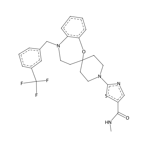 CNC(=O)c1cnc(N2CCC3(CC2)CCN(Cc2cccc(C(F)(F)F)c2)c2ccccc2O3)s1